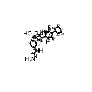 NN=CNc1cccc(S(=O)(=O)C(N)(Cc2c(F)c(F)c(-c3ccccc3)c(F)c2F)C(=O)O)c1